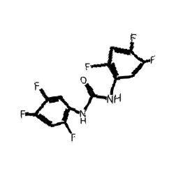 O=C(Nc1cc(F)c(F)cc1F)Nc1cc(F)c(F)cc1F